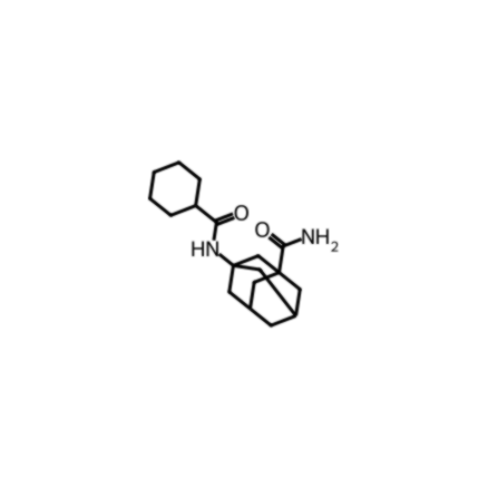 NC(=O)C12CC3CC(CC(NC(=O)C4CCCCC4)(C3)C1)C2